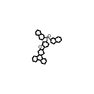 O=P(c1ccc2ccccc2c1)(c1ccc2ccccc2c1)c1ccc2c(c1)oc1cc3c4ccccc4c4ccccc4c3cc12